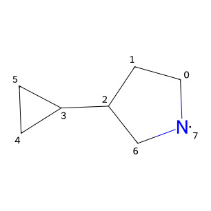 C1CC(C2CC2)C[N]1